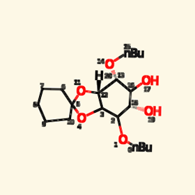 CCCCOC1C2OC3(CCCCC3)O[C@@H]2[C@H](OCCCC)C(O)[C@@H]1O